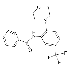 O=C(Nc1cc(C(F)(F)F)ccc1N1CCOCC1)c1ccccn1